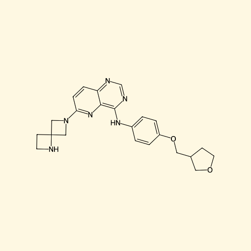 c1nc(Nc2ccc(OCC3CCOC3)cc2)c2nc(N3CC4(CCN4)C3)ccc2n1